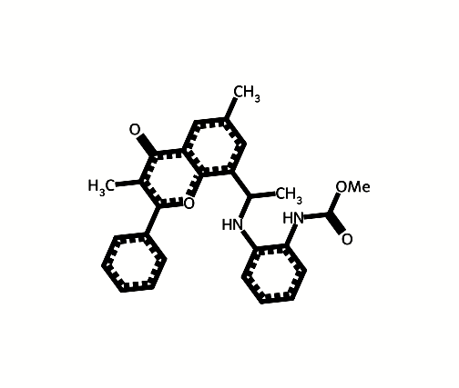 COC(=O)Nc1ccccc1NC(C)c1cc(C)cc2c(=O)c(C)c(-c3ccccc3)oc12